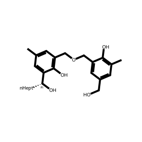 CCCCCCC[C@@H](O)c1cc(C)cc(COCc2cc(CO)cc(C)c2O)c1O